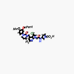 CCCCCOc1cc(N2CCC(C)N(Cc3ccnc4c3c(Cl)cn4CC(=O)NC3CCN(C(=O)O)C3)C2=O)ccc1OC